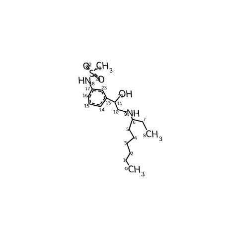 CCCCCCC(CC)NCC(O)c1cccc(NS(C)(=O)=O)c1